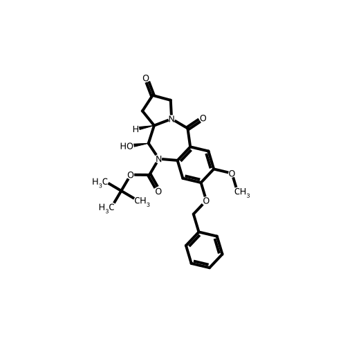 COc1cc2c(cc1OCc1ccccc1)N(C(=O)OC(C)(C)C)[C@@H](O)[C@@H]1CC(=O)CN1C2=O